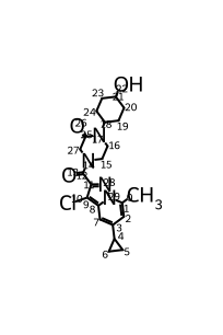 Cc1cc(C2CC2)cc2c(Cl)c(C(=O)N3CCN(C4CCC(O)CC4)C(=O)C3)nn12